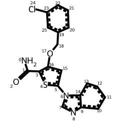 NC(=O)c1sc(-n2cnc3ccccc32)cc1OCc1cccc(Cl)c1